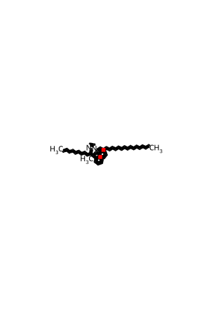 CCCCCCCCCCCCCCCCCCCn1ccnc1C(CCCCCCCCCC)C(C)(Cc1ccccc1)c1ccccc1